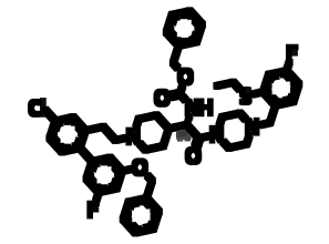 CCSc1cc(F)ccc1CN1CCN(C(=O)[C@H](NC(=O)OCc2ccccc2)C2CCN(CCc3cc(Cl)ccc3-c3cc(F)cc(OCc4ccccc4)c3)CC2)CC1